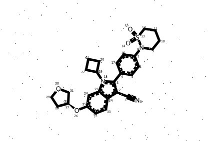 N#Cc1c(-c2ccc(N3CCCCS3(=O)=O)cc2)n(C2CCC2)c2cc(O[C@H]3CCOC3)ccc12